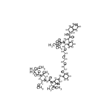 COC[C@H]1CN(C(=O)OC(C)(C)C)[C@H](C)CN1CC(=O)N1CC(C)(C)c2ncc(Cc3ccccc3OCCOCCOCCOCCN(C[C@@H](C(=O)Nc3ccc4cnccc4c3)c3ccccc3)C(=O)OC(C)(C)C)cc21